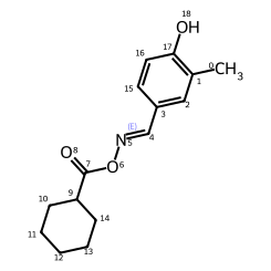 Cc1cc(/C=N/OC(=O)C2CCCCC2)ccc1O